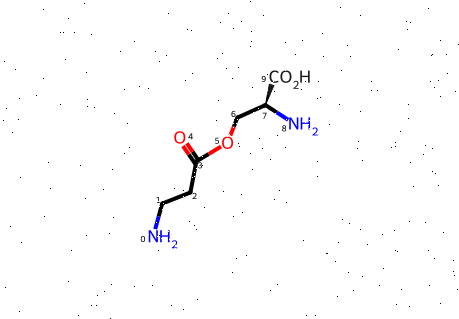 NCCC(=O)OC[C@H](N)C(=O)O